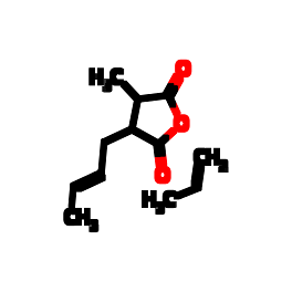 C=CC.CC=CCC1C(=O)OC(=O)C1C